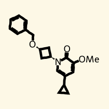 COc1cc(C2CC2)cn([C@H]2C[C@@H](OCc3ccccc3)C2)c1=O